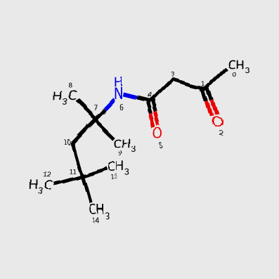 CC(=O)CC(=O)NC(C)(C)CC(C)(C)C